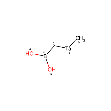 [CH3][Ta][CH2]B(O)O